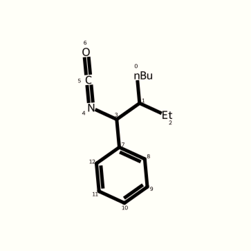 CCCCC(CC)C(N=C=O)c1ccccc1